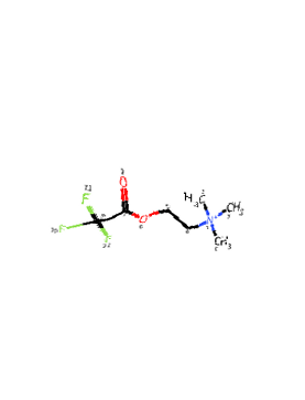 C[N+](C)(C)CCOC(=O)C(F)(F)F